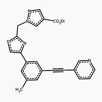 CCOC(=O)c1cnn(Cc2nc(-c3cc(C)cc(C#Cc4cccnc4)c3)cs2)c1